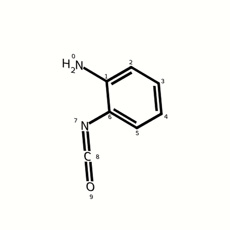 Nc1ccccc1N=C=O